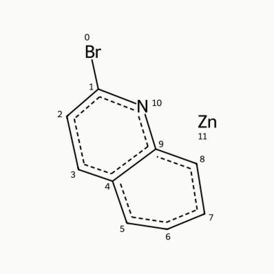 Brc1ccc2ccccc2n1.[Zn]